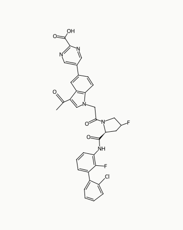 CC(=O)c1cn(CC(=O)N2CC(F)C[C@H]2C(=O)Nc2cccc(-c3ccccc3Cl)c2F)c2ccc(-c3cnc(C(=O)O)nc3)cc12